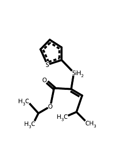 CC(C)C=C([SiH2]c1cccs1)C(=O)OC(C)C